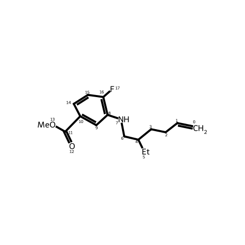 C=CCCC(CC)CNc1cc(C(=O)OC)ccc1F